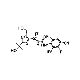 CC(C)c1cc(C#N)c(F)c(C(C)C)c1NC(=O)N[S+]([O-])c1sc(C(C)(C)O)nc1CO